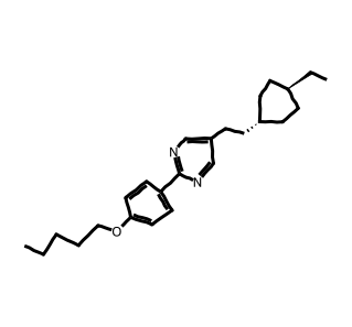 CCCCCOc1ccc(-c2ncc(CC[C@H]3CC[C@H](CC)CC3)cn2)cc1